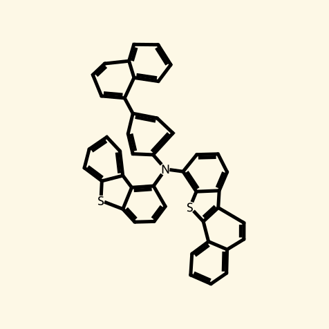 c1ccc2c(-c3ccc(N(c4cccc5c4sc4c6ccccc6ccc54)c4cccc5sc6ccccc6c45)cc3)cccc2c1